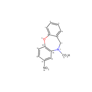 O=C(O)N1Cc2ccccc2Oc2ccc([N+](=O)[O-])cc21